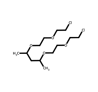 CC(CC(C)OCCOCCCl)OCCOCCCl